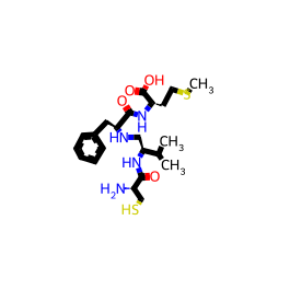 CSCC[C@H](NC(=O)[C@H](Cc1ccccc1)NC[C@H](NC(=O)[C@@H](N)CS)C(C)C)C(=O)O